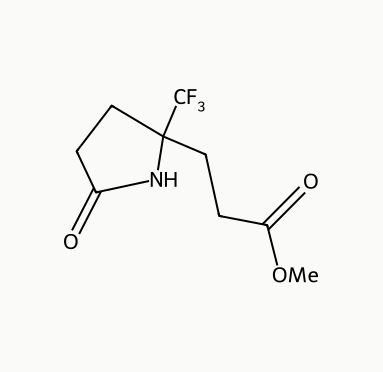 COC(=O)CCC1(C(F)(F)F)CCC(=O)N1